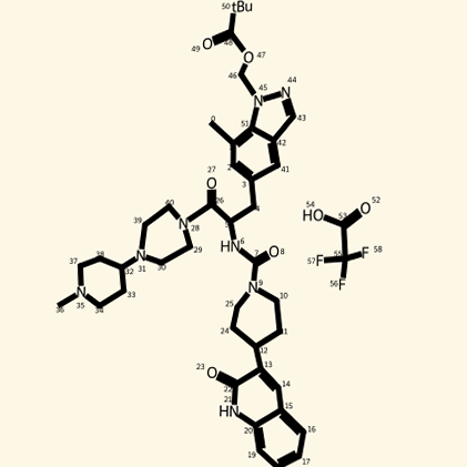 Cc1cc(CC(NC(=O)N2CCC(c3cc4ccccc4[nH]c3=O)CC2)C(=O)N2CCN(C3CCN(C)CC3)CC2)cc2cnn(COC(=O)C(C)(C)C)c12.O=C(O)C(F)(F)F